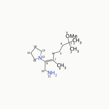 COC(C)(C)CCC/C(C)=C(/CN)N1CCCC1